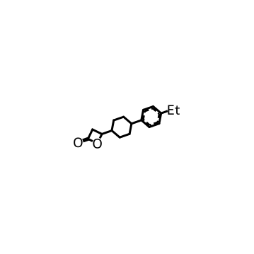 CCc1ccc(C2CCC(C3CC(=O)O3)CC2)cc1